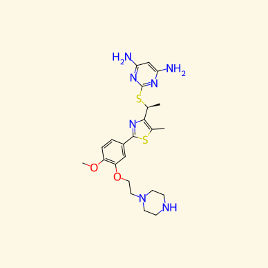 COc1ccc(-c2nc([C@H](C)Sc3nc(N)cc(N)n3)c(C)s2)cc1OCCN1CCNCC1